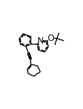 CC(C)(C)Oc1cccc(-c2ccccc2C#CC2=CCCCC2)n1